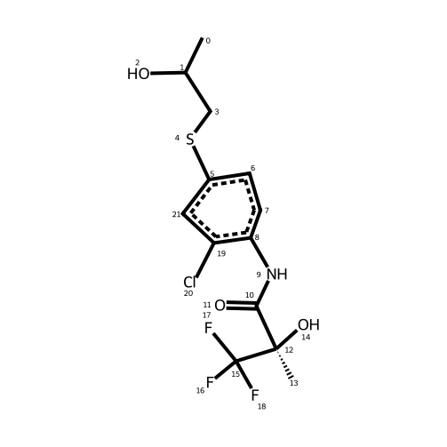 CC(O)CSc1ccc(NC(=O)[C@@](C)(O)C(F)(F)F)c(Cl)c1